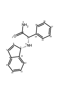 NC(=O)[C@@H](N[C@H]1C=Cc2ccccc21)c1ccccc1